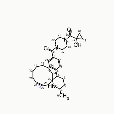 CC1CCC(c2ccc(C(=O)N3CCN(C(=O)C4(O)CC4)CC3)cc2)C2(C/C=C\CCCCCC2)N1